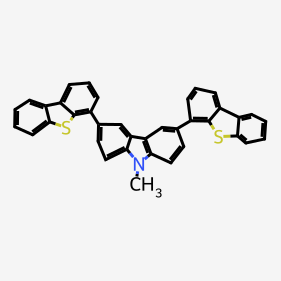 Cn1c2ccc(-c3cccc4c3sc3ccccc34)cc2c2cc(-c3cccc4c3sc3ccccc34)ccc21